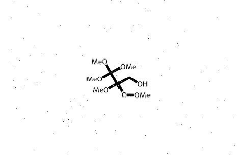 COOC(CO)(OC)C(OC)(OC)OC